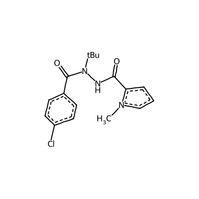 Cn1cccc1C(=O)NN(C(=O)c1ccc(Cl)cc1)C(C)(C)C